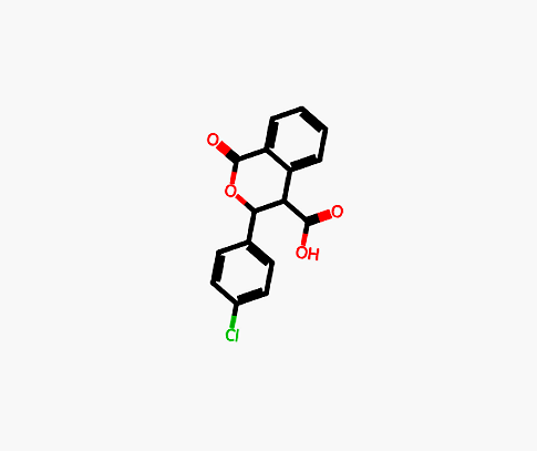 O=C1OC(c2ccc(Cl)cc2)C(C(=O)O)c2ccccc21